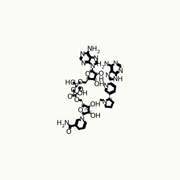 CN1CCC[C@H]1c1cccnc1.NC(=O)C1=CN([C@@H]2O[C@H](COP(=O)(O)OP(=O)(O)OC[C@H]3O[C@@H](n4cnc5c(N)ncnc54)[C@H](O)[C@@H]3O)[C@@H](O)[C@H]2O)C=CC1.Nc1ncnc2[nH]cnc12